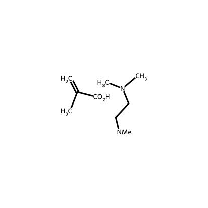 C=C(C)C(=O)O.CNCCN(C)C